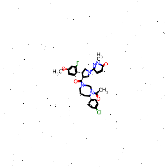 COc1ccc([C@@H]2CN(c3ccc(=O)n(C)n3)C[C@H]2C(=O)N2CCC[C@@H](c3ccc(Cl)cc3)N(C(C)=O)CC2)c(F)c1